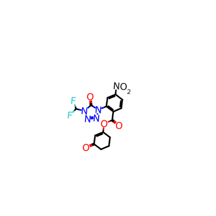 O=C1C=C(OC(=O)c2ccc([N+](=O)[O-])cc2-n2nnn(C(F)F)c2=O)CCC1